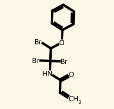 C=CC(=O)NC(Br)(Br)C(Br)Oc1ccccc1